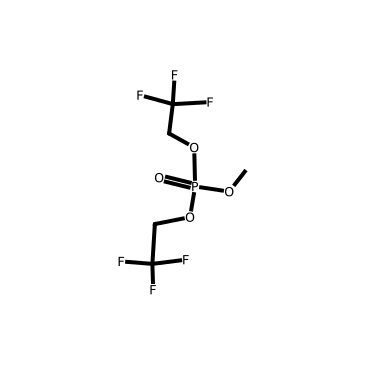 COP(=O)(OCC(F)(F)F)OCC(F)(F)F